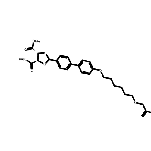 C=C(C)COCCCCCCOc1ccc(-c2ccc(C3O[C@@H](C(=O)OC)[C@H](C(=O)OC)O3)cc2)cc1